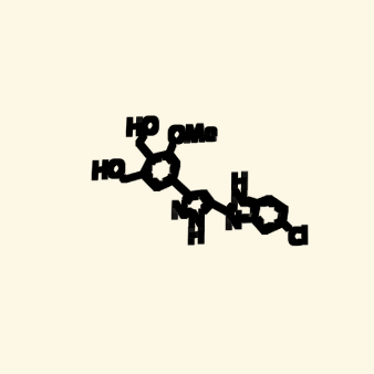 COc1cc(-c2cc(-c3nc4cc(Cl)ccc4[nH]3)[nH]n2)cc(CO)c1CO